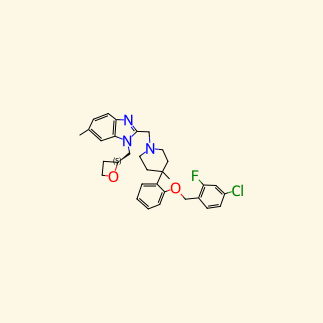 Cc1ccc2nc(CN3CCC(C)(c4ccccc4OCc4ccc(Cl)cc4F)CC3)n(C[C@@H]3CCO3)c2c1